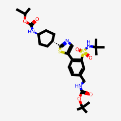 CC(C)OC(=O)N[C@H]1CC[C@H](c2ncc(-c3ccc(CNC(=O)OC(C)(C)C)cc3S(=O)(=O)NC(C)(C)C)s2)CC1